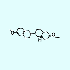 CCO[C@@H]1CC[C@@H]2CC(C3CCc4cc(OC)ccc4C3)CCC2C1